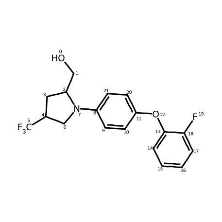 OCC1CC(C(F)(F)F)CN1c1ccc(Oc2ccccc2F)cc1